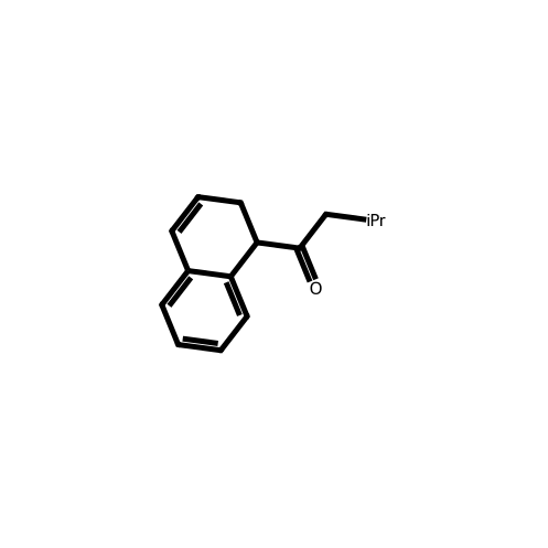 CC(C)CC(=O)C1CC=Cc2ccccc21